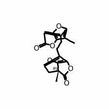 Cc1c2c3oc1c(CCc1c4oc5c1OC(=O)[C@]5(C)C4)c3C(=O)O2